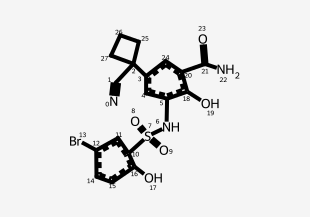 N#CC1(c2cc(NS(=O)(=O)c3cc(Br)ccc3O)c(O)c(C(N)=O)c2)CCC1